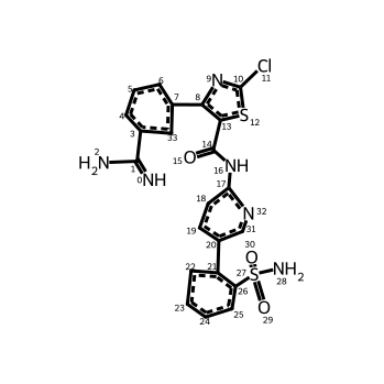 N=C(N)c1cccc(-c2nc(Cl)sc2C(=O)Nc2ccc(-c3ccccc3S(N)(=O)=O)cn2)c1